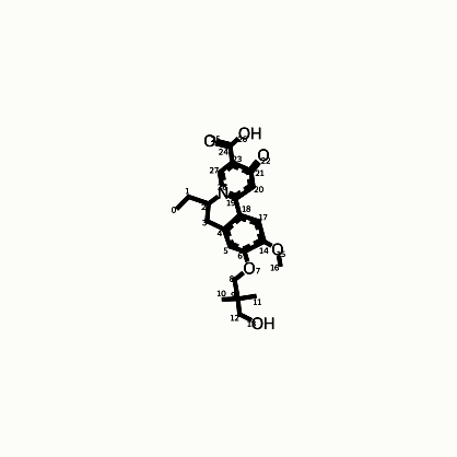 CCC1Cc2cc(OCC(C)(C)CO)c(OC)cc2-c2cc(=O)c(C(=O)O)cn21